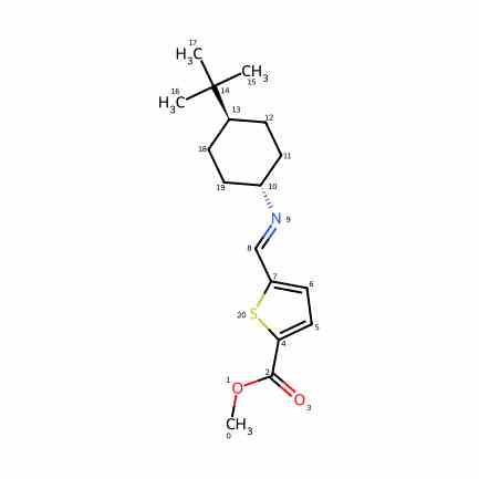 COC(=O)c1ccc(C=N[C@H]2CC[C@H](C(C)(C)C)CC2)s1